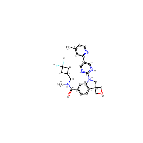 Cc1ccnc(-c2cnc(N3CC4(COC4)c4ccc(C(=O)N(C)CC5CC(F)(F)C5)cc43)nc2)c1